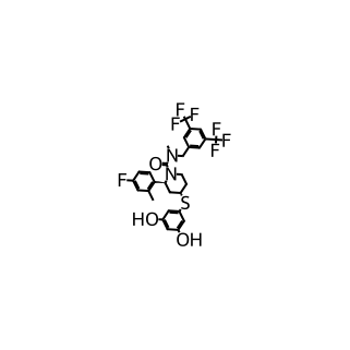 Cc1cc(F)ccc1[C@@H]1C[C@H](Sc2cc(O)cc(O)c2)CCN1C(=O)N(C)Cc1cc(C(F)(F)F)cc(C(F)(F)F)c1